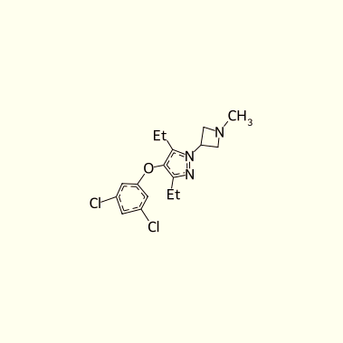 CCc1nn(C2CN(C)C2)c(CC)c1Oc1cc(Cl)cc(Cl)c1